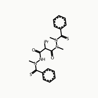 CC(C)C(C(=O)NN(C)C(=S)c1ccccc1)C(=O)N(C)N(C)C(=S)c1ccccc1